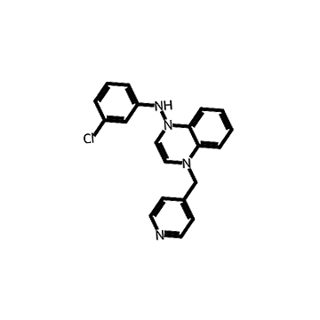 Clc1cccc(NN2C=CN(Cc3ccncc3)c3ccccc32)c1